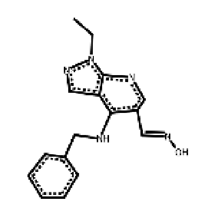 CCn1ncc2c(NCc3ccccc3)c(/C=N/O)cnc21